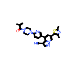 C=C(C)C(=O)N1CCN(c2ccc(-c3cc(-c4sc(C)nc4C)cn4ncc(C#N)c34)cn2)CC1